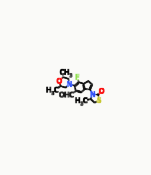 C[C@@H]1CN(c2c(C=O)cc3c(c2F)CC=C3N2C(=O)SC[C@H]2C)C[C@@H](C)O1